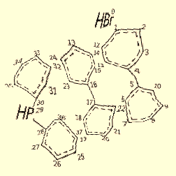 Br.c1ccc(-c2ccccc2)cc1.c1ccc(-c2ccccc2)cc1.c1ccc(Pc2ccccc2)cc1